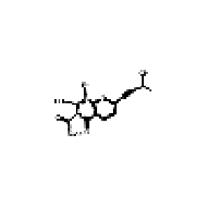 CCn1c(N)c(C(=O)NC)c(=O)c2ccc(C#CC(C)O)nc21